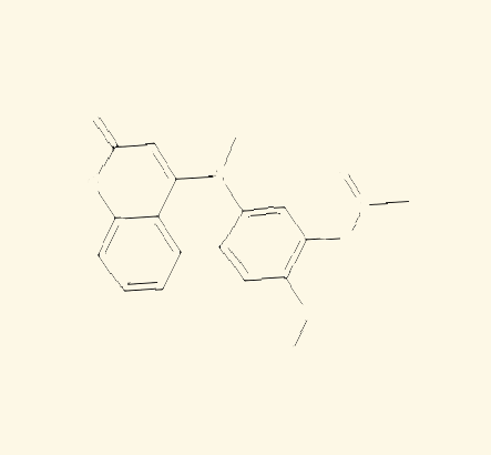 COc1ccc(N(C)c2cc(=O)oc3ccccc23)cc1OS(C)=O